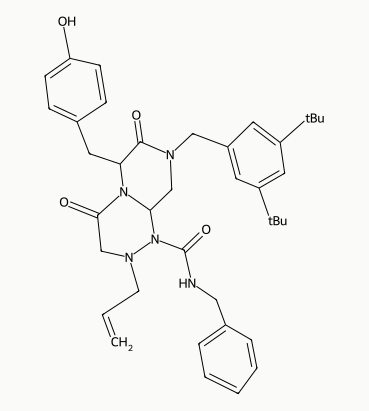 C=CCN1CC(=O)N2C(Cc3ccc(O)cc3)C(=O)N(Cc3cc(C(C)(C)C)cc(C(C)(C)C)c3)CC2N1C(=O)NCc1ccccc1